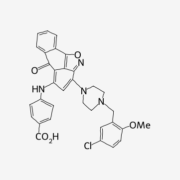 COc1ccc(Cl)cc1CN1CCN(c2cc(Nc3ccc(C(=O)O)cc3)c3c4c(onc24)-c2ccccc2C3=O)CC1